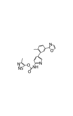 Cc1ccc(-c2ncco2)cc1-c1ccc(NC(=O)Oc2snnc2C)nc1